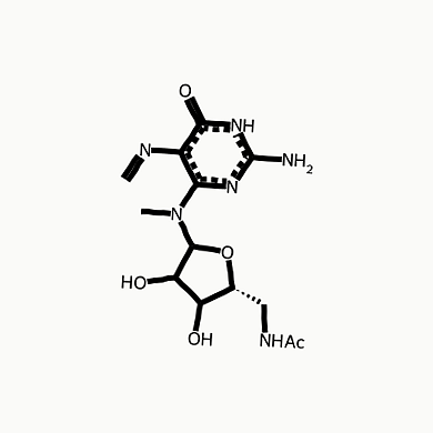 C=Nc1c(N(C)C2O[C@H](CNC(C)=O)C(O)C2O)nc(N)[nH]c1=O